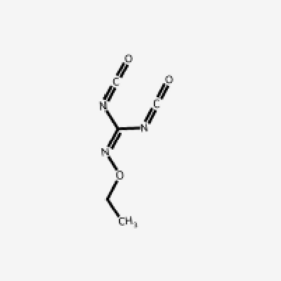 CCON=C(N=C=O)N=C=O